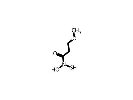 COCCC(=O)N(O)S